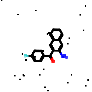 Nc1cc2ccccc2cc1C(=O)c1ccc(F)cc1